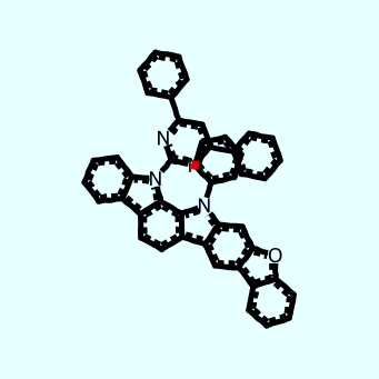 c1ccc(-c2cc(-c3ccccc3)nc(-n3c4ccccc4c4ccc5c6cc7c(cc6n(-c6ccccc6)c5c43)oc3ccccc37)n2)cc1